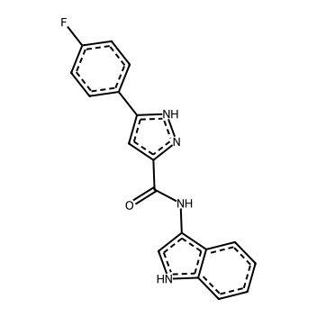 O=C(Nc1c[nH]c2ccccc12)c1cc(-c2ccc(F)cc2)[nH]n1